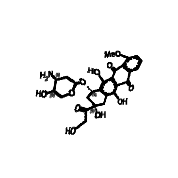 COc1cccc2c1C(=O)c1c(O)c3c(c(O)c1C2=O)C[C@@](O)(C(=O)CO)C[C@@H]3OC1C[C@H](N)[C@H](O)CO1